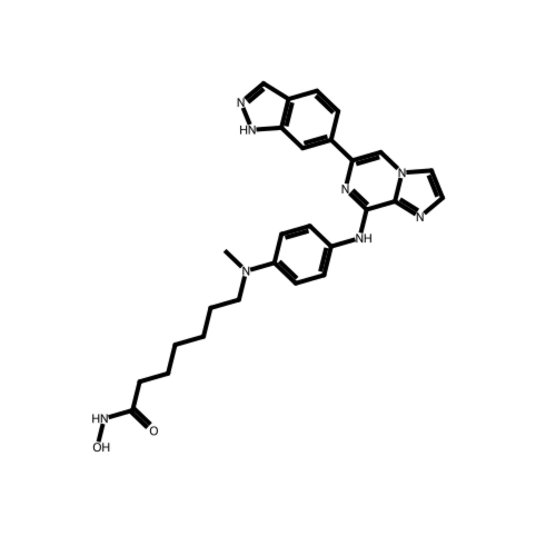 CN(CCCCCCC(=O)NO)c1ccc(Nc2nc(-c3ccc4cn[nH]c4c3)cn3ccnc23)cc1